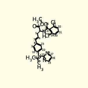 COC(=O)[C@H](CC=Cc1ccc(N(c2ncccn2)C(C)C)cc1)NC(=O)c1c(Cl)cccc1Cl